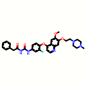 COc1cc2c(Oc3ccc(NC(=O)NC(=O)Cc4ccccc4)cc3F)ccnc2cc1OCCN1CCN(C)CC1